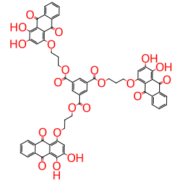 O=C(OCCCOc1cc(O)c(O)c2c1C(=O)c1ccccc1C2=O)c1cc(C(=O)OCCCOc2cc(O)c(O)c3c2C(=O)c2ccccc2C3=O)cc(C(=O)OCCCOc2cc(O)c(O)c3c2C(=O)c2ccccc2C3=O)c1